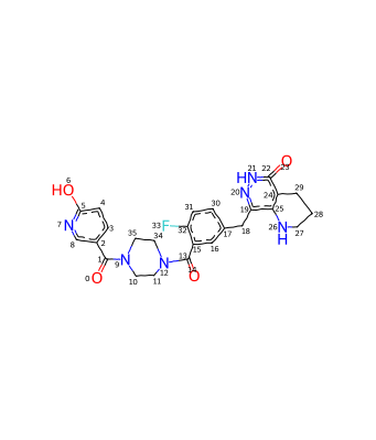 O=C(c1ccc(O)nc1)N1CCN(C(=O)c2cc(Cc3n[nH]c(=O)c4c3NCCC4)ccc2F)CC1